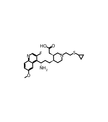 COc1ccc2ncc(F)c([C@@H](N)CC[C@@H]3CCN(CCSC4CC4)C[C@@H]3CC(=O)O)c2c1